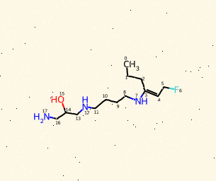 CCC/C(=C\CF)NCCCCNCC(O)CN